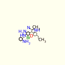 CCCC1CC(=O)C2=C(C1)NC(C)=C(C#N)C2c1cc(N)c(NCc2ccccc2N)c(Br)c1